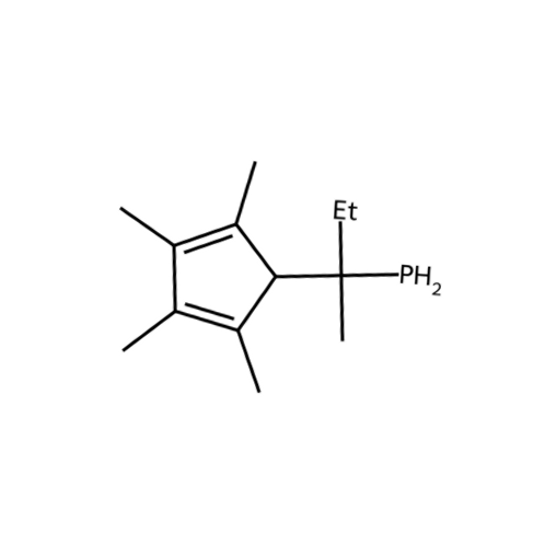 CCC(C)(P)C1C(C)=C(C)C(C)=C1C